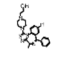 CC1N=C(c2ccccc2)c2cc(Cl)ccc2-n2c1nnc2N1CCN(CCO)CC1